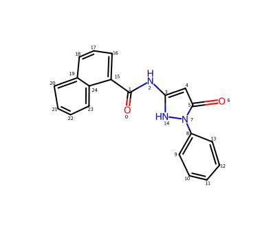 O=C(Nc1cc(=O)n(-c2ccccc2)[nH]1)c1cccc2ccccc12